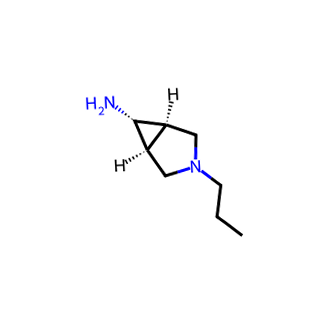 CCCN1C[C@@H]2[C@@H](N)[C@@H]2C1